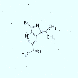 CC(=O)c1cnc2c(Br)nn(C(C)C)c2c1